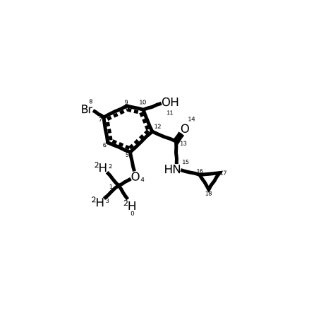 [2H]C([2H])([2H])Oc1cc(Br)cc(O)c1C(=O)NC1CC1